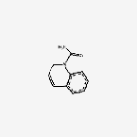 NC(=O)N1CC=Cc2ccccc21